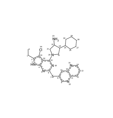 CCc1[nH]c2nc(Sc3cnc4cccnc4c3)nc(N3CC(N)C(C4CCCCC4)C3)c2c1Cl